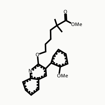 COC(=O)C(C)(C)CCCCOc1nc2ccccc2cc1-c1ccccc1OC